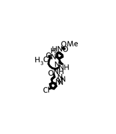 COC(=O)Nc1ccc2c(c1)NC(=O)[C@@H](C)CCC[C@H](NC(=O)/C=C/c1cc(Cl)ccc1-n1cnnn1)c1nc-2c[nH]1